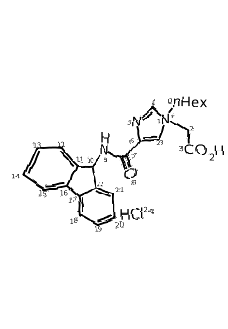 CCCCCC[N+]1(CC(=O)O)C=NC(C(=O)NC2c3ccccc3-c3ccccc32)=C1.Cl